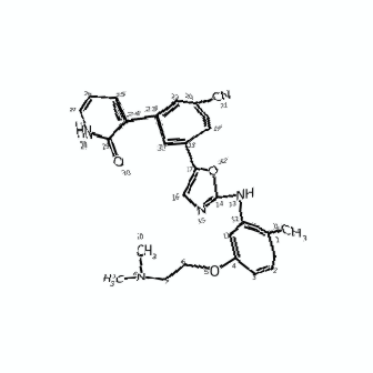 Cc1ccc(OCCN(C)C)cc1Nc1ncc(-c2cc(C#N)cc(-c3ccc[nH]c3=O)c2)o1